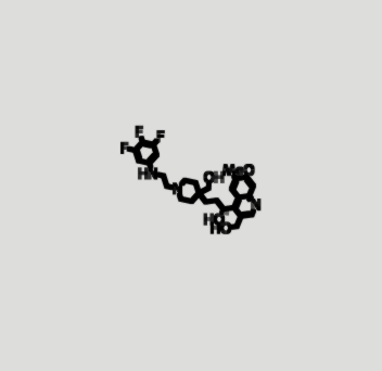 COc1ccc2ncc(CO)c([C@@H](O)CCC3(CO)CCN(CCNc4cc(F)c(F)c(F)c4)CC3)c2c1